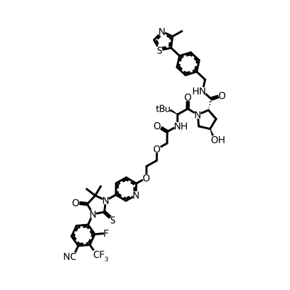 Cc1ncsc1-c1ccc(CNC(=O)[C@@H]2C[C@@H](O)CN2C(=O)[C@@H](NC(=O)COCCOc2ccc(N3C(=S)N(c4ccc(C#N)c(C(F)(F)F)c4F)C(=O)C3(C)C)cn2)C(C)(C)C)cc1